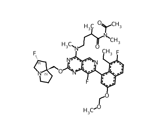 CCc1c(F)ccc2cc(OCOC)cc(-c3ncc4c(N(C)CCC(C)C(=O)N(C)C(C)=O)nc(OC[C@@]56CCCN5C[C@H](F)C6)nc4c3F)c12